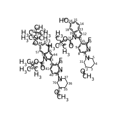 CO[C@H]1CCCN(c2ccc(-c3cc4ccc(O)cc4n3C(=O)OC(C)(C)C)c(F)n2)C1.CO[C@H]1CCCN(c2ccc(-c3cc4ccc(O[Si](C)(C)C(C)(C)C)cc4n3C(=O)OC(C)(C)C)c(F)n2)C1